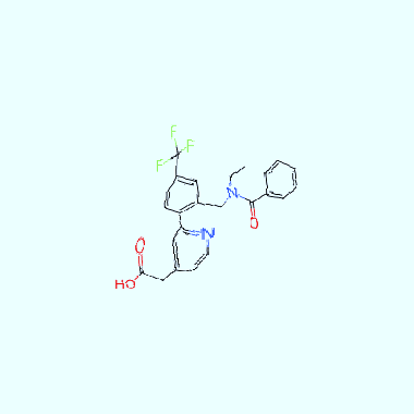 CCN(Cc1cc(C(F)(F)F)ccc1-c1cc(CC(=O)O)ccn1)C(=O)c1ccccc1